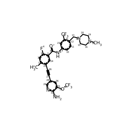 Cc1cc(F)c(C(=O)Nc2ccc(CN3CCN(C)CC3)c(C(F)(F)F)c2)cc1C#Cc1cnc(N)c(OC(F)(F)F)c1